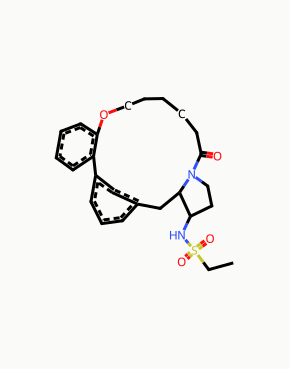 CCS(=O)(=O)NC1CCN2C(=O)CCCCCOc3ccccc3-c3cccc(c3)CC12